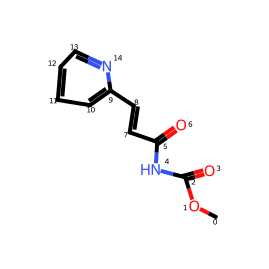 COC(=O)NC(=O)/C=C/c1ccccn1